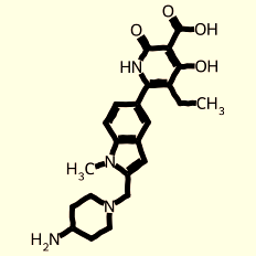 CCc1c(-c2ccc3c(c2)cc(CN2CCC(N)CC2)n3C)[nH]c(=O)c(C(=O)O)c1O